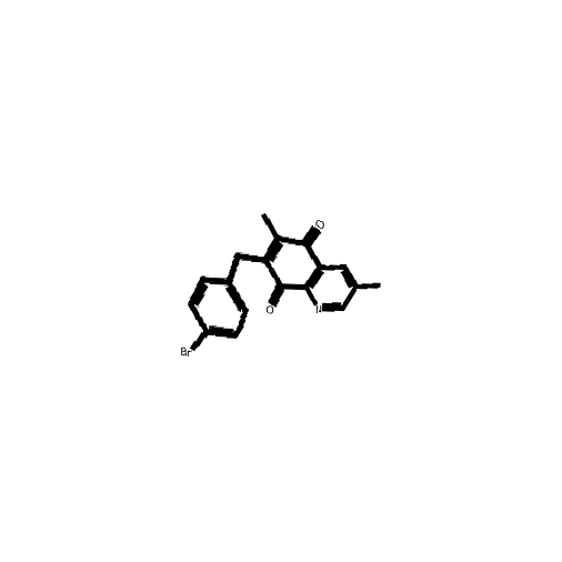 CC1=C(Cc2ccc(Br)cc2)C(=O)c2ncc(C)cc2C1=O